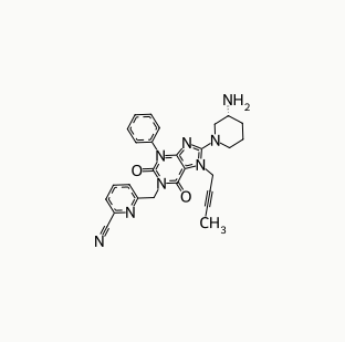 CC#CCn1c(N2CCC[C@@H](N)C2)nc2c1c(=O)n(Cc1cccc(C#N)n1)c(=O)n2-c1ccccc1